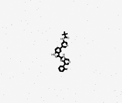 CC(C)(C)C(=O)Nc1cncc(-c2ccc3[nH]nc(-c4nc5c(-c6ccccc6F)cncc5[nH]4)c3c2)c1